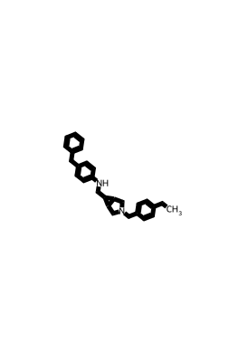 CCc1ccc(CN2CC3C(CNc4ccc(Cc5ccccc5)cc4)C3C2)cc1